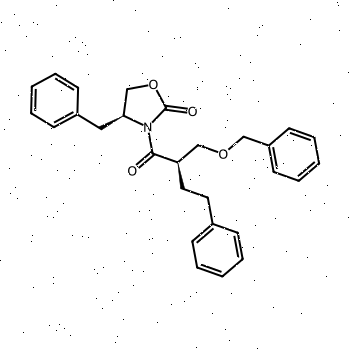 O=C1OC[C@H](Cc2ccccc2)N1C(=O)[C@H](CCc1ccccc1)COCc1ccccc1